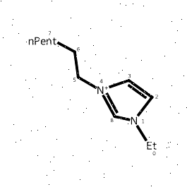 [CH]Cn1cc[n+](CCCCCCC)c1